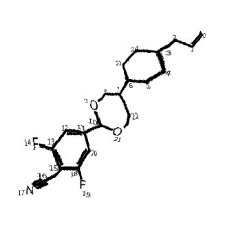 C=CCC1CCC(C2COC(c3cc(F)c(C#N)c(F)c3)OC2)CC1